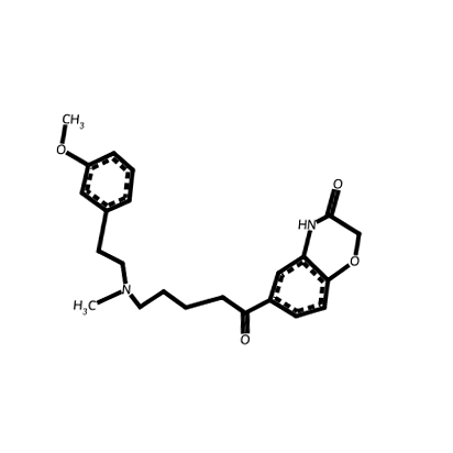 COc1cccc(CCN(C)CCCCC(=O)c2ccc3c(c2)NC(=O)CO3)c1